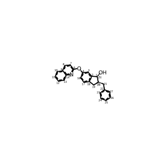 O[C@@H]1c2cc(Oc3ccc4ccccc4n3)ccc2C[C@@H]1Cc1ccccc1